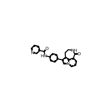 O=C(Nc1ccc(-c2cn3cccc4c3c2CCNC4=O)cc1)c1cccnc1